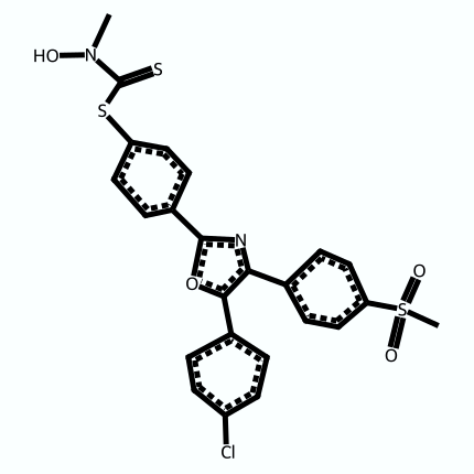 CN(O)C(=S)Sc1ccc(-c2nc(-c3ccc(S(C)(=O)=O)cc3)c(-c3ccc(Cl)cc3)o2)cc1